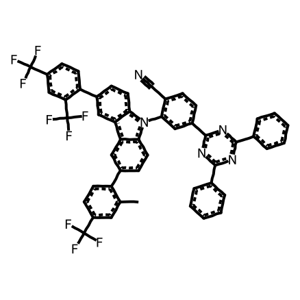 Cc1cc(C(F)(F)F)ccc1-c1ccc2c(c1)c1cc(-c3ccc(C(F)(F)F)cc3C(F)(F)F)ccc1n2-c1cc(-c2nc(-c3ccccc3)nc(-c3ccccc3)n2)ccc1C#N